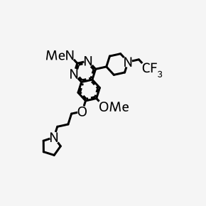 CNc1nc(C2CCN(CC(F)(F)F)CC2)c2cc(OC)c(OCCCN3CCCC3)cc2n1